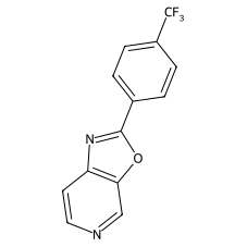 FC(F)(F)c1ccc(-c2nc3ccncc3o2)cc1